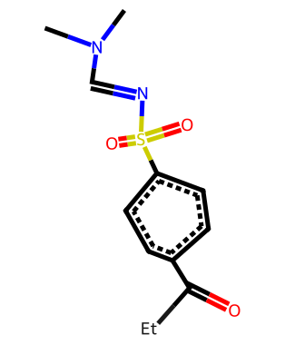 CCC(=O)c1ccc(S(=O)(=O)/N=C/N(C)C)cc1